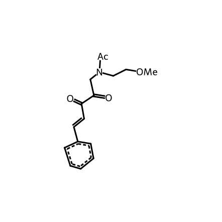 COCCN(CC(=O)C(=O)/C=C/c1ccccc1)C(C)=O